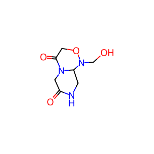 O=C1CN2C(=O)CON(CO)C2CN1